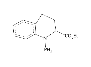 CCOC(=O)C1CCc2ccccc2N1P